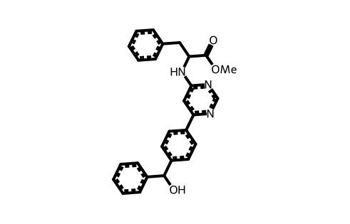 COC(=O)C(Cc1ccccc1)Nc1cc(-c2ccc(C(O)c3ccccc3)cc2)ncn1